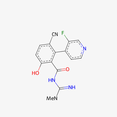 CNC(=N)NC(=O)c1c(O)ccc(C#N)c1-c1ccncc1F